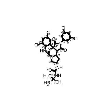 CC(C)(C)NC(=O)N[C@H]1CC2C3C(=O)N(c4cc(Cl)cc(Cl)c4)C(=O)C34N=C(Nc3c(Cl)cc(Cl)cc34)N2C1